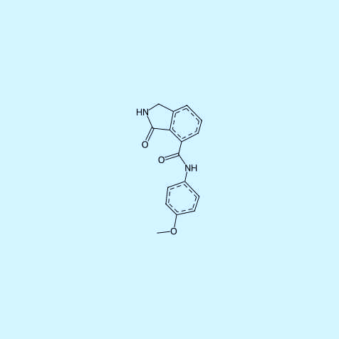 COc1ccc(NC(=O)c2cccc3c2C(=O)NC3)cc1